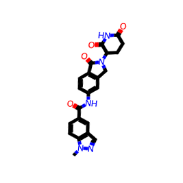 Cn1ncc2cc(C(=O)Nc3ccc4c(c3)CN(C3CCC(=O)NC3=O)C4=O)ccc21